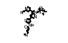 CCOP(=O)(OCC)OCn1cc(-c2ccnc(C#N)c2)c2cc(-c3cncc(NC(=O)/C=C/CN(C)C)c3)cnc21